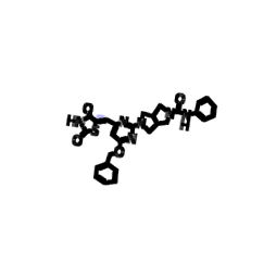 O=C1NC(=O)/C(=C/c2cc(OCc3ccccc3)nc(N3CC4CN(C(=O)Nc5ccccc5)CC4C3)n2)S1